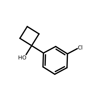 OC1(c2cccc(Cl)c2)CCC1